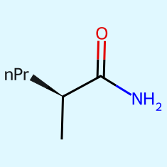 CCC[C@H](C)C(N)=O